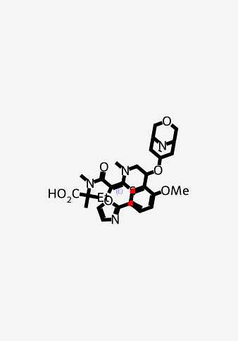 C=C(S/C(=C(\CC)C(=O)N(C)C(C)(C)C(=O)O)N(C)CC(OC1CC2COCC(C1)N2C)c1ccccc1OC)c1ncco1